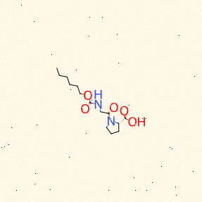 CCCCCCOC(=O)NCC(=O)N1CCC[C@H]1C(=O)O